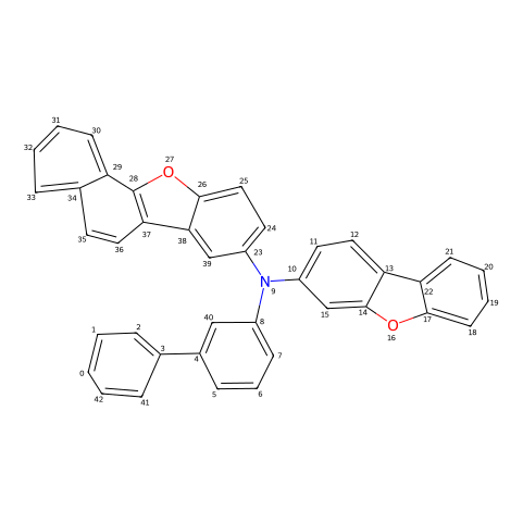 c1ccc(-c2cccc(N(c3ccc4c(c3)oc3ccccc34)c3ccc4oc5c6ccccc6ccc5c4c3)c2)cc1